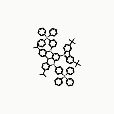 CC(C)c1ccc2c(c1)N(c1ccc([Si](c3ccccc3)(c3ccccc3)c3ccccc3)cc1)c1cc(-n3c4ccc(C(C)(C)C)cc4c4cc(C(C)(C)C)ccc43)cc3c1B2c1ccc(C(C)C)cc1N3c1cccc([Si](c2ccccc2)(c2ccccc2)c2ccccc2)c1